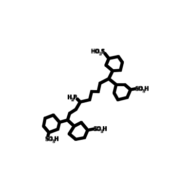 O=S(=O)(O)C1CCCC(C(CCCCC(P)CCC(C2CCCC(S(=O)(=O)O)C2)C2CCCC(S(=O)(=O)O)C2)C2CCCC(S(=O)(=O)O)C2)C1